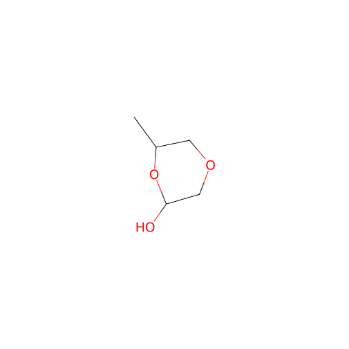 CC1COCC(O)O1